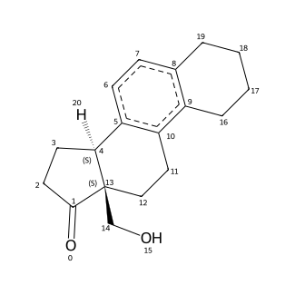 O=C1CC[C@H]2c3ccc4c(c3CC[C@]12CO)CCCC4